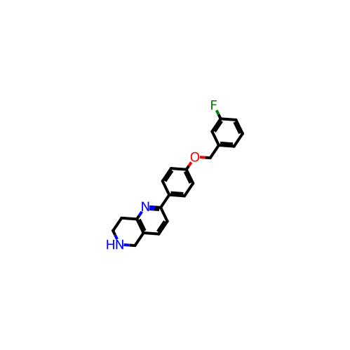 Fc1cccc(COc2ccc(-c3ccc4c(n3)CCNC4)cc2)c1